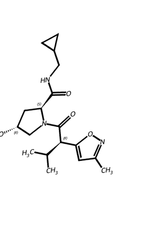 Cc1cc([C@H](C(=O)N2C[C@H](O)C[C@H]2C(=O)NCC2CC2)C(C)C)on1